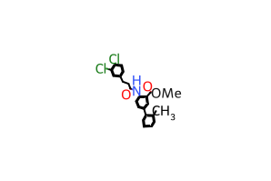 COC(=O)c1cc(-c2ccccc2C)ccc1NC(=O)CCc1ccc(Cl)c(Cl)c1